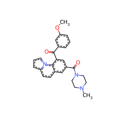 COc1cccc(C(=O)c2cc(C(=O)N3CCN(C)CC3)cc3ccc4cccn4c23)c1